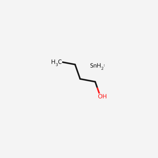 CCCCO.[SnH2]